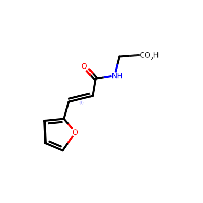 O=C(O)CNC(=O)/C=C/c1ccco1